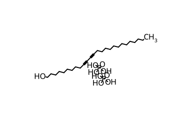 CCCCCCCCCCCCCC#CC#CCCCCCCCCCO.O=P(O)(O)O.O=P(O)(O)O